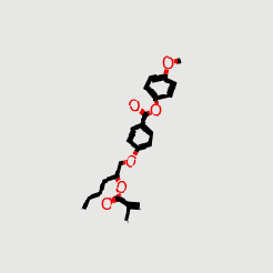 C=C(C)C(=O)OC(CCCC)COc1ccc(C(=O)Oc2ccc(OC)cc2)cc1